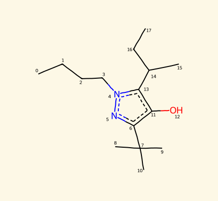 CCCCn1nc(C(C)(C)C)c(O)c1C(C)CC